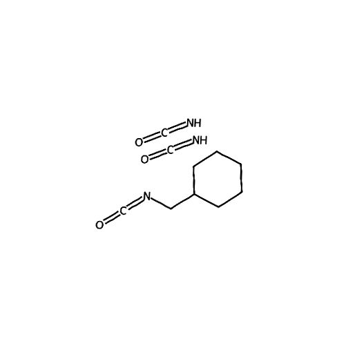 N=C=O.N=C=O.O=C=NCC1CCCCC1